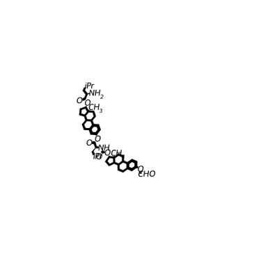 CC(C)C[C@@H](N)C(=O)O[C@H]1CCC2C3CCc4cc(OC(=O)[C@H](CC(C)C)NC(=O)O[C@H]5CCC6C7CCc8cc(OC=O)ccc8C7CC[C@@]65C)ccc4C3CC[C@@]21C